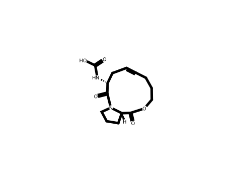 O=C(O)N[C@@H]1CC=CCCCOC(=O)[C@@H]2CCCN2C1=O